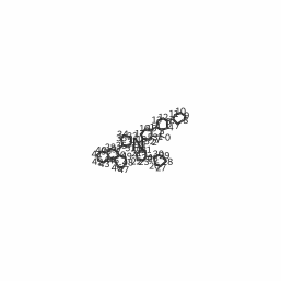 CC1(C)c2cc(-c3ccccc3)ccc2-c2ccc(N(c3cccc(-c4ccccc4)c3)c3cccc(-c4cc5ccccc5c5ccccc45)c3)cc21